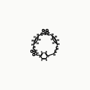 O=S1(=O)Cc2ccc(cc2)CCCc2ccc(cc2)CS(=O)(=O)Cc2ccc(cc2)C1